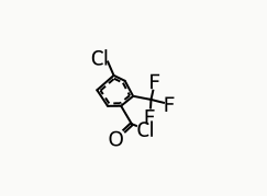 O=C(Cl)c1ccc(Cl)cc1C(F)(F)F